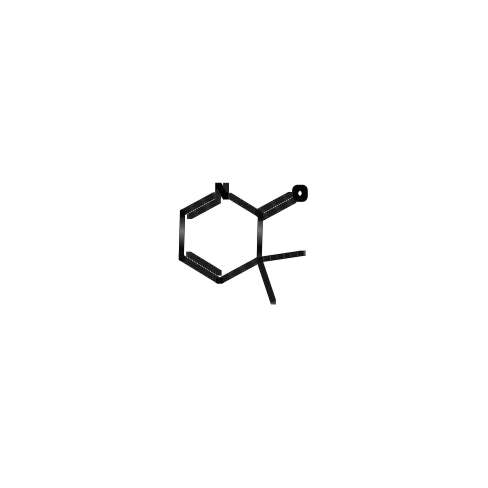 CC1(C)C=CC=NC1=O